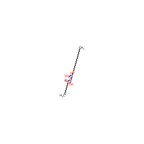 CCCCCCCCCCCCCCCCCCCCCOC(=O)CN(CCCN(CCO)CC(=C=O)OCCCCCCCCCCC)CC(=O)O